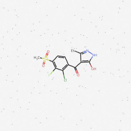 CCc1n[nH]c(O)c1C(=O)c1ccc(S(C)(=O)=O)c(F)c1Cl